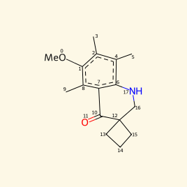 COc1c(C)c(C)c2c(c1C)C(=O)C1(CCC1)CN2